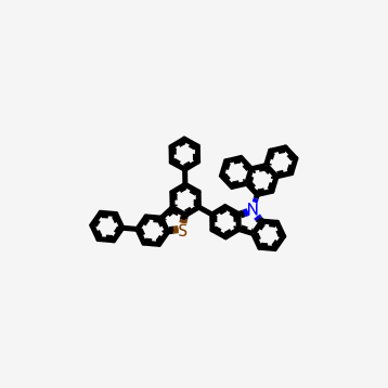 c1ccc(-c2ccc3sc4c(-c5ccc6c7ccccc7n(-c7cc8ccccc8c8ccccc78)c6c5)cc(-c5ccccc5)cc4c3c2)cc1